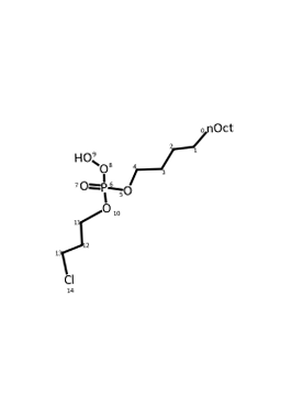 CCCCCCCCCCCCOP(=O)(OO)OCCCCl